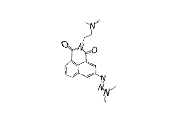 CN(C)CCN1C(=O)c2cccc3cc(N=NN(C)C)cc(c23)C1=O